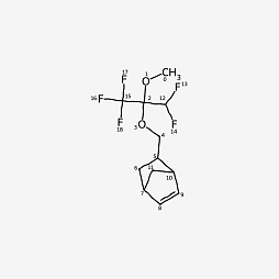 COC(OCC1CC2C=CC1C2)(C(F)F)C(F)(F)F